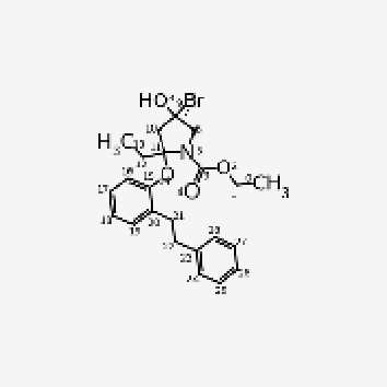 CCOC(=O)N1CC(O)(Br)CC1(CC)Oc1ccccc1CCc1ccccc1